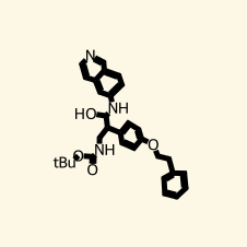 CC(C)(C)OC(=O)NCC(c1ccc(OCCc2ccccc2)cc1)C(O)Nc1ccc2cnccc2c1